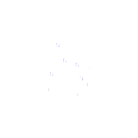 Cc1c(F)c2c3c(nc(=O)n(I)c3c1F)N1CCN(C)CC1CN2C